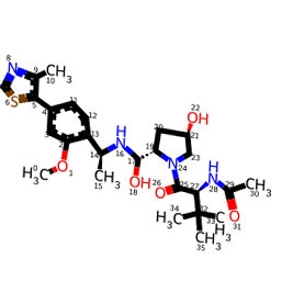 COc1cc(-c2scnc2C)ccc1[C@H](C)NC(O)[C@@H]1C[C@@H](O)CN1C(=O)[C@@H](NC(C)=O)C(C)(C)C